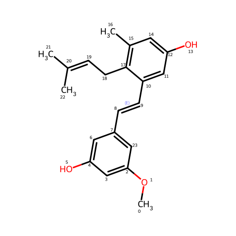 COc1cc(O)cc(/C=C/c2cc(O)cc(C)c2CC=C(C)C)c1